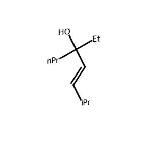 CCCC(O)(/C=C/C(C)C)CC